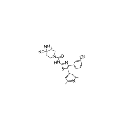 Cc1cc(-c2sc(NC(=O)N3CCC(N)(C#N)CC3)nc2-c2cccc(C#N)c2)cc(C)n1